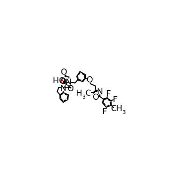 Cc1oc(-c2cc(F)c(C)c(F)c2F)nc1CCOc1cccc(CN(CC(=O)O)S(=O)(=O)N2CCc3ccccc32)c1